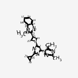 Cc1nc(C)n(-c2cc(N3CC(c4nc5ccccc5n4C)C3)nc(C3CC3)n2)n1